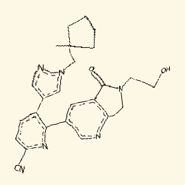 CC1(Cn2cc(-c3ccc(C#N)nc3-c3cnc4c(c3)C(=O)N(CCO)C4)cn2)CCCC1